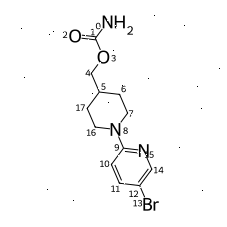 NC(=O)OCC1CCN(c2ccc(Br)cn2)CC1